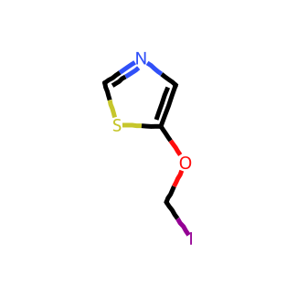 ICOc1cncs1